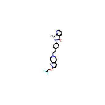 Cc1ncccc1C(=O)N[C@H]1CC[C@H](CCN2CCc3ccc(OCC(F)F)nc3CC2)CC1